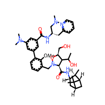 COc1c(CN2O[C@@H](CO)C(C(C)O)[C@H]2C(=O)N[C@H]2C[C@H]3C[C@@H]([C@@H]2C)C3(C)C)cccc1-c1cc(C(=O)N[C@@H](Cc2ccccn2)CN(C)C)cc(N(C)C)c1